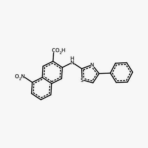 O=C(O)c1cc2c([N+](=O)[O-])cccc2cc1Nc1nc(-c2ccccc2)cs1